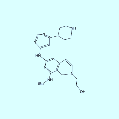 CC(C)(C)Nc1nc(Nc2cc(C3CCNCC3)ncn2)cc2c1CN(CCO)C=C2